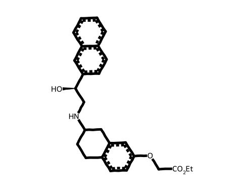 CCOC(=O)COc1ccc2c(c1)CC(NC[C@@H](O)c1ccc3ccccc3c1)CC2